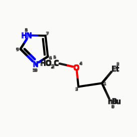 CCCCC(CC)COC(=O)O.c1c[nH]cn1